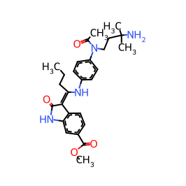 CCCC(Nc1ccc(N(CCC(C)(C)N)C(C)=O)cc1)=C1C(=O)Nc2cc(C(=O)OC)ccc21